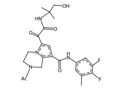 CC(=O)N1CCn2c(C(=O)C(=O)NC(C)(C)CO)cc(C(=O)Nc3cc(C)c(F)c(F)c3)c2C1